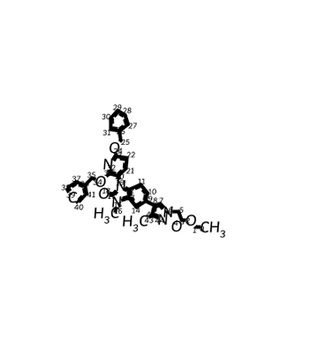 CCOC(=O)Cn1cc(-c2ccc3c(c2)n(C)c(=O)n3-c2ccc(OCc3ccccc3)nc2OCc2ccccc2)c(C)n1